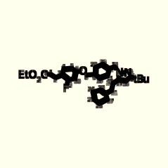 CCOC(=O)CCc1ccc(OCc2ccc(Cn3nc(C(C)(C)C)cc3CCc3ccccc3)cc2)cc1F